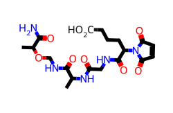 CC(NC(=O)CNC(=O)C(CCCC(=O)O)N1C(=O)C=CC1=O)C(=O)NCOC(C)C(N)=O